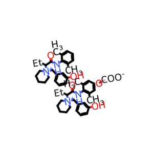 CCC(C(=O)Nc1c(C)cccc1C)[N+]1(Cc2cccc(O)c2)CCCCC1.CCC(C(=O)Nc1c(C)cccc1C)[N+]1(Cc2cccc(O)c2)CCCCC1.O=C([O-])[O-]